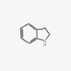 [CH]1Cc2ccccc2N1